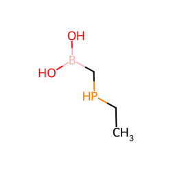 CCPCB(O)O